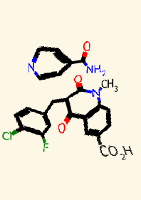 CN1C(=O)C(Cc2ccc(Cl)c(F)c2)C(=O)c2cc(C(=O)O)ccc21.NC(=O)c1ccncc1